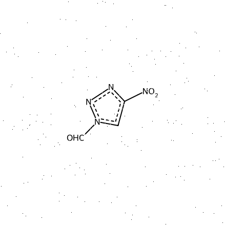 O=Cn1cc([N+](=O)[O-])nn1